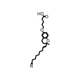 CC1(C=CCCCCCCC#N)CCc2cc(OCCCCC(=O)O)ccc2O1